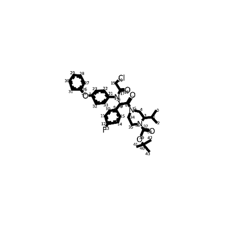 CC(C)C1CN(C(=O)[C@H](c2ccc(F)cc2)N(C(=O)CCl)c2ccc(Oc3ccccc3)cc2)CCN1C(=O)OC(C)(C)C